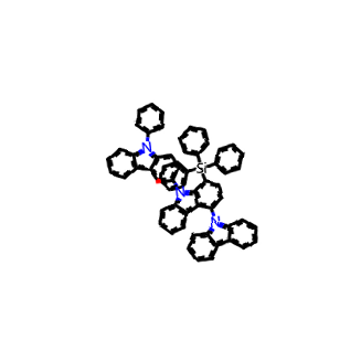 c1ccc(-n2c3ccccc3c3cc(-n4c5ccccc5c5c(-n6c7ccccc7c7ccccc76)ccc([Si](c6ccccc6)(c6ccccc6)c6ccccc6)c54)ccc32)cc1